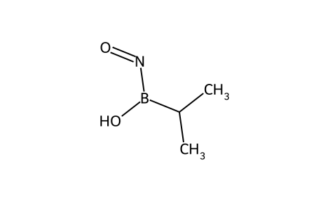 CC(C)B(O)N=O